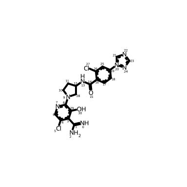 N=C(N)c1c(Cl)cnc(N2CCC(NC(=O)c3ccc(-n4cncn4)cc3Cl)C2)c1O